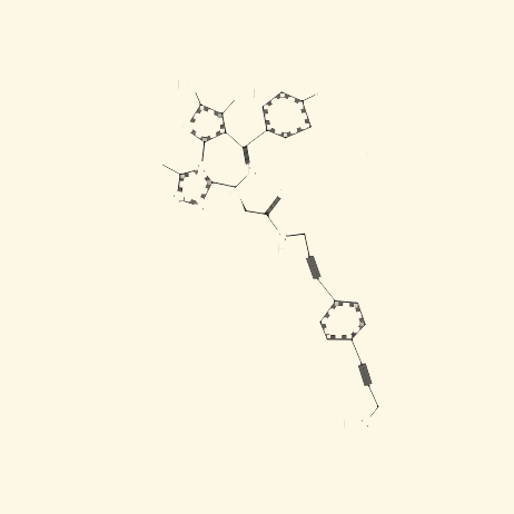 Cc1sc2c(c1C)C(c1ccc(Cl)cc1)=N[C@@H](CC(=O)NCC#Cc1ccc(C#CCN)cc1)c1nnc(C)n1-2.Cl